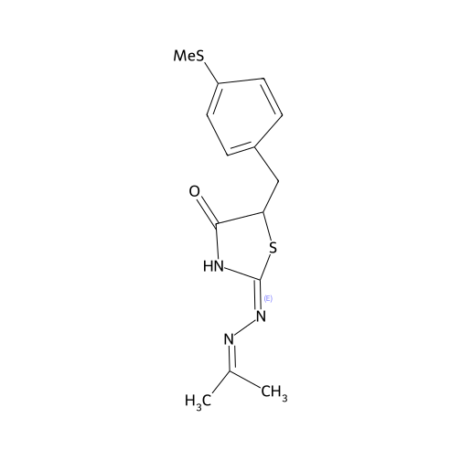 CSc1ccc(CC2S/C(=N/N=C(C)C)NC2=O)cc1